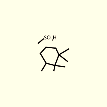 CC1CCCC(C)(C)C1(C)C.CS(=O)(=O)O